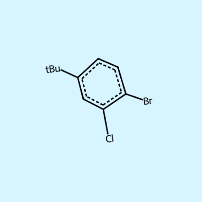 CC(C)(C)c1ccc(Br)c(Cl)c1